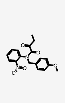 CCC(=O)C(=O)N(Cc1ccc(OC)cc1)c1ccccc1[N+](=O)[O-]